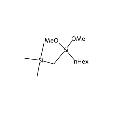 CCCCCC[Si](C[Si](C)(C)C)(OC)OC